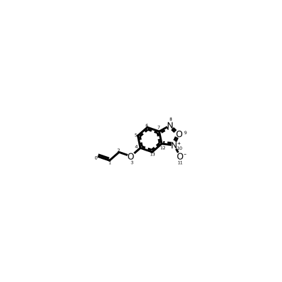 C=CCOc1ccc2no[n+]([O-])c2c1